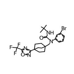 CC(C)(C)NC(=O)N(CC12CCC(c3noc(C(F)(F)F)n3)(CC1)CC2)c1cccc(Br)c1